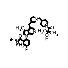 Cc1cn(-c2ccc(F)cc2C(=O)N(C)C(C)C)c2cncc(CC3CCN(CC4CCN(C(=O)C(C)(C)O)CC4)C3)c12